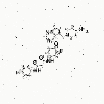 NC1CCN(Cc2ccn3ncnc(Oc4ccc(NC(=O)CC(=O)Nc5ccc(F)cc5)cc4F)c23)CC1